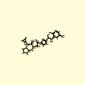 Cc1ncc(Cl)cc1NC(C)c1ccc(C(=O)NC(CC2CCCC2)C(=O)NC2CC2)s1